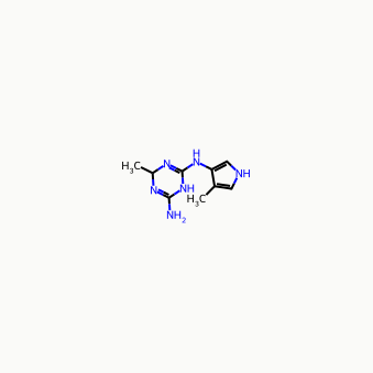 Cc1c[nH]cc1NC1=NC(C)N=C(N)N1